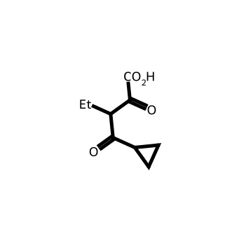 CCC(C(=O)C(=O)O)C(=O)C1CC1